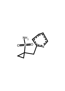 NS(=O)(=O)C1(Cc2ccccn2)CC1